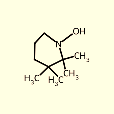 CC1(C)CCCN(O)C1(C)C